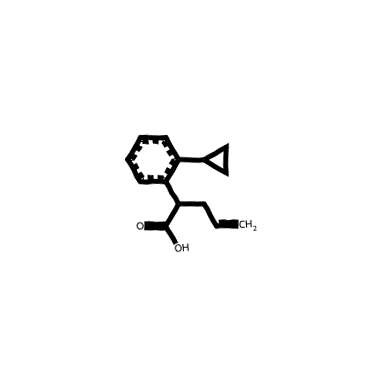 C=CCC(C(=O)O)c1ccccc1C1CC1